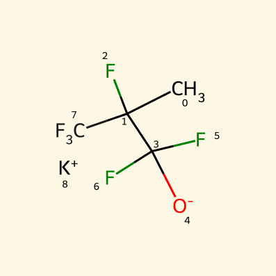 CC(F)(C([O-])(F)F)C(F)(F)F.[K+]